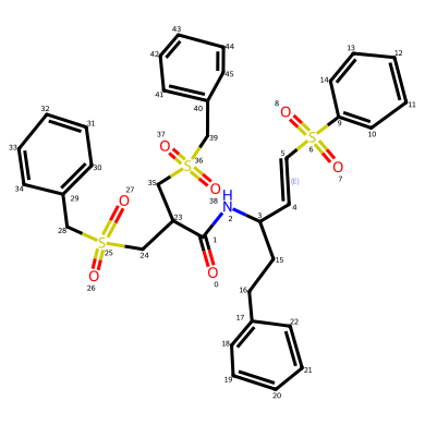 O=C(NC(/C=C/S(=O)(=O)c1ccccc1)CCc1ccccc1)C(CS(=O)(=O)Cc1ccccc1)CS(=O)(=O)Cc1ccccc1